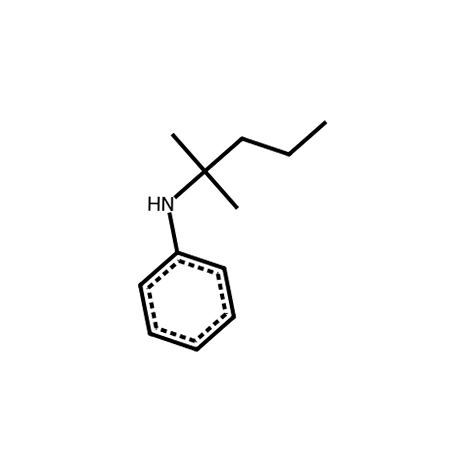 CCCC(C)(C)Nc1ccccc1